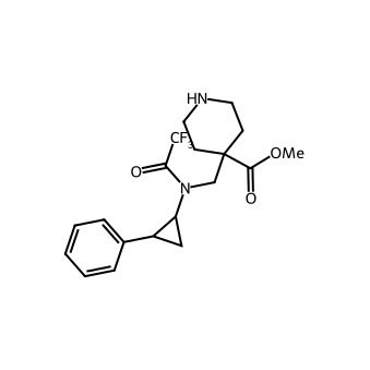 COC(=O)C1(CN(C(=O)C(F)(F)F)C2CC2c2ccccc2)CCNCC1